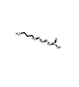 CCCC[13CH2][13CH2][13CH2][13CH2][13CH2][13C](=O)O